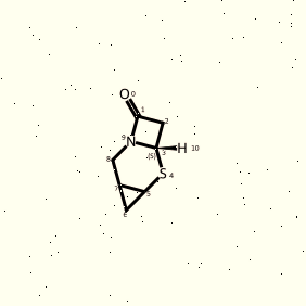 O=C1C[C@@H]2SC3CC3CN12